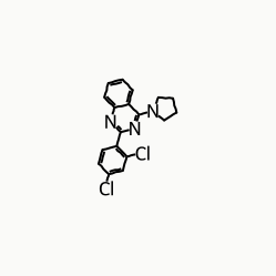 Clc1ccc(-c2nc(N3CCCC3)c3ccccc3n2)c(Cl)c1